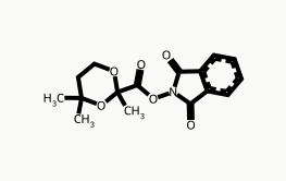 CC1(C)CCOC(C)(C(=O)ON2C(=O)c3ccccc3C2=O)O1